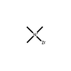 C[N+](C)(C)[Zr]